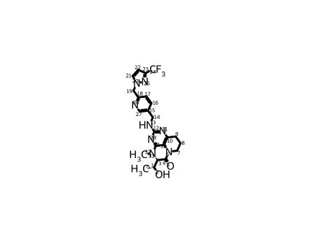 C[C@@H](O)[C@H]1C(=O)N2CCCc3nc(NCc4ccc(Cn5ccc(C(F)(F)F)n5)nc4)nc(c32)N1C